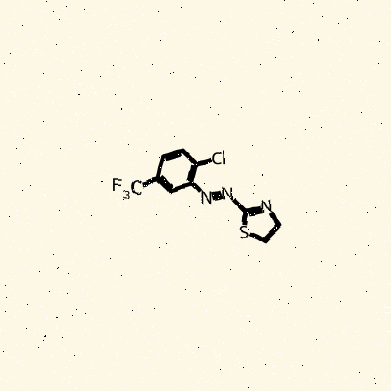 FC(F)(F)c1ccc(Cl)c(/N=N/C2=NCCS2)c1